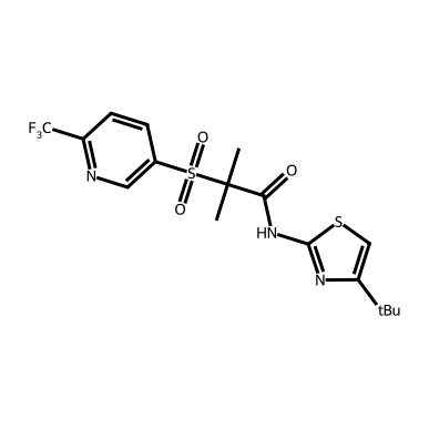 CC(C)(C)c1csc(NC(=O)C(C)(C)S(=O)(=O)c2ccc(C(F)(F)F)nc2)n1